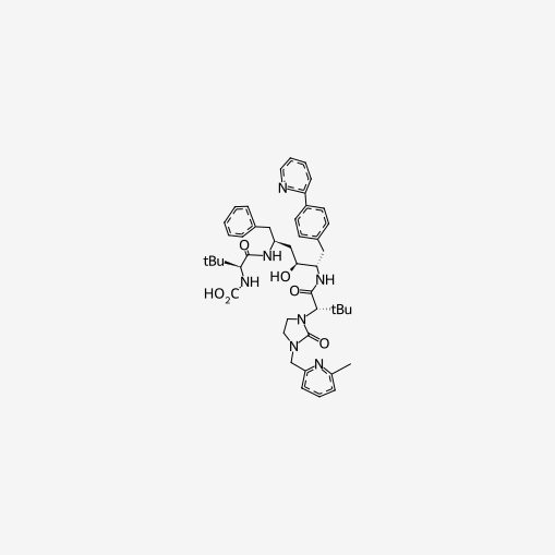 Cc1cccc(CN2CCN([C@H](C(=O)N[C@@H](Cc3ccc(-c4ccccn4)cc3)[C@@H](O)C[C@H](Cc3ccccc3)NC(=O)[C@@H](NC(=O)O)C(C)(C)C)C(C)(C)C)C2=O)n1